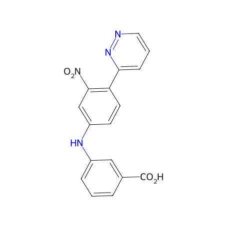 O=C(O)c1cccc(Nc2ccc(-c3cccnn3)c([N+](=O)[O-])c2)c1